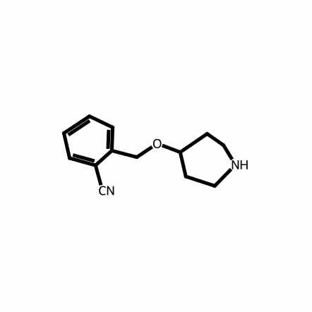 N#Cc1ccccc1COC1CCNCC1